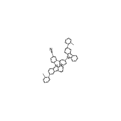 Cc1ccccc1-c1ccc2c(c1)c1ccccc1n2-c1ccnc(-c2cc(C#N)ccc2-n2c3ccccc3c3cc(-c4ccccc4C)ccc32)c1